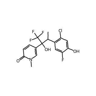 CC(c1cc(F)c(O)cc1Cl)C(O)(c1ccc(=O)n(C)c1)C(F)(F)F